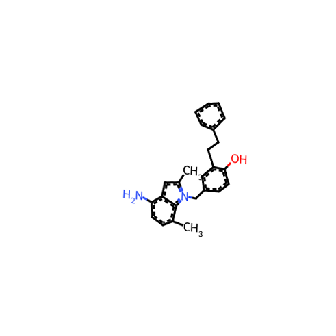 Cc1ccc(N)c2cc(C)n(Cc3ccc(O)c(CCc4ccccc4)c3)c12